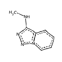 CNc1nnn2ccccc12